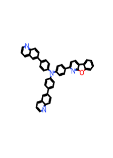 c1cnc2ccc(-c3ccc(N(c4ccc(-c5ccc6ncccc6c5)cc4)c4ccc(-c5ccc6c(n5)oc5ccccc56)cc4)cc3)cc2c1